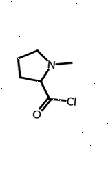 CN1CCCC1C(=O)Cl